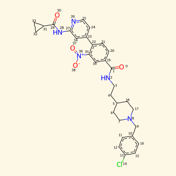 O=C(NCCC1CCN(Cc2ccc(Cl)cc2)CC1)c1ccc(-c2ccnc(NC(=O)C3CC3)c2)c([N+](=O)[O-])c1